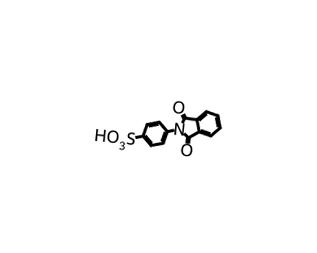 O=C1c2ccccc2C(=O)N1c1ccc(S(=O)(=O)O)cc1